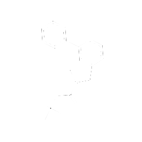 CC(C)(C)OC(=O)N1Cc2cccc(-c3ccccc3)c2C1